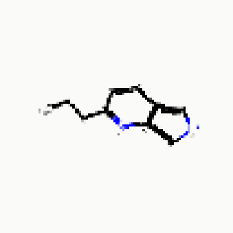 CCCc1ccc2c[nH]cc2n1